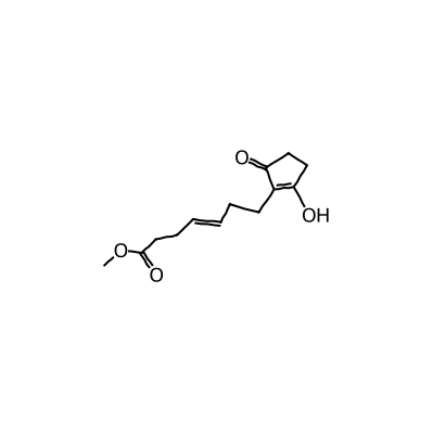 COC(=O)CCC=CCCC1=C(O)CCC1=O